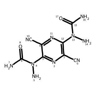 N#Cc1nc(N(N)C(N)=O)c(C#N)nc1N(N)C(N)=O